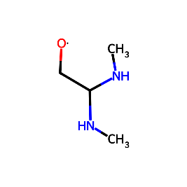 CNC(C[O])NC